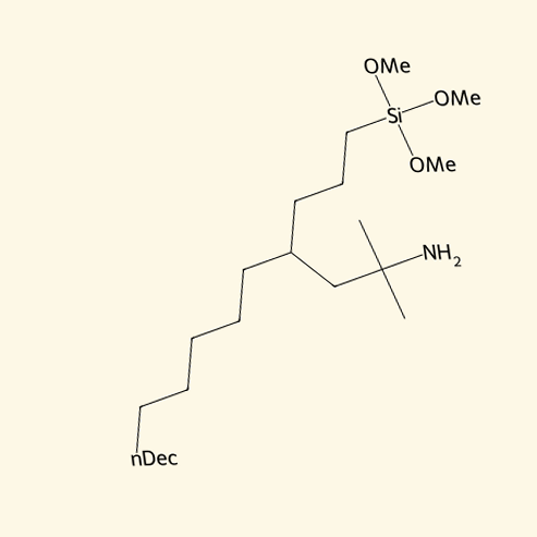 CCCCCCCCCCCCCCCC(CCC[Si](OC)(OC)OC)CC(C)(C)N